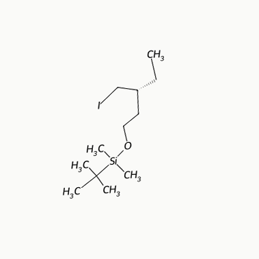 CC[C@@H](CI)CCO[Si](C)(C)C(C)(C)C